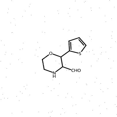 O=CC1NCCOC1c1cccs1